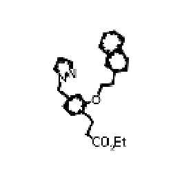 CCOC(=O)CCc1ccc(Cn2cccn2)cc1OCCc1ccc2ccccc2c1